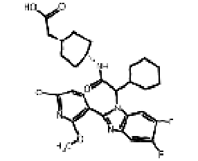 COc1nc(Cl)ccc1-c1nc2cc(F)c(F)cc2n1C(C(=O)N[C@H]1CC[C@H](CC(=O)O)CC1)C1CCCCC1